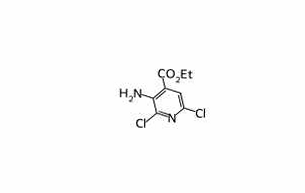 CCOC(=O)c1cc(Cl)nc(Cl)c1N